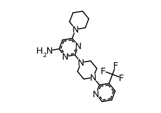 Nc1cc(N2CCCCC2)nc(N2CCN(c3ncccc3C(F)(F)F)CC2)n1